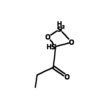 CCC(=O)[SiH]1O[SiH2]O1